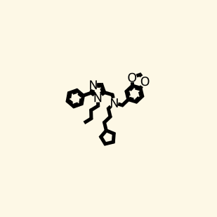 CCCCn1c(CN(CCCC2CCCC2)Cc2ccc3c(c2)OCO3)cnc1-c1ccccc1